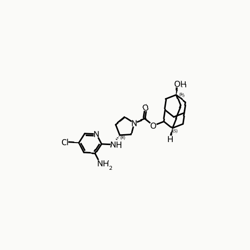 Nc1cc(Cl)cnc1N[C@@H]1CCN(C(=O)OC2C3CC4C[C@H]2C[C@@](O)(C4)C3)C1